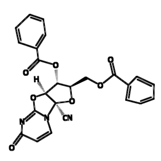 N#C[C@@]12O[C@H](COC(=O)c3ccccc3)[C@@H](OC(=O)c3ccccc3)[C@@H]1Oc1nc(=O)ccn12